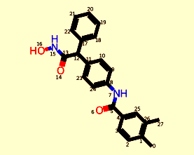 Cc1ccc(C(=O)Nc2ccc(C(C(=O)NO)c3ccccc3)cc2)cc1C